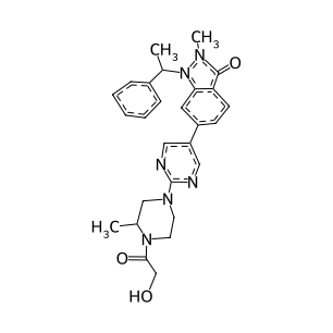 CC1CN(c2ncc(-c3ccc4c(=O)n(C)n(C(C)c5ccccc5)c4c3)cn2)CCN1C(=O)CO